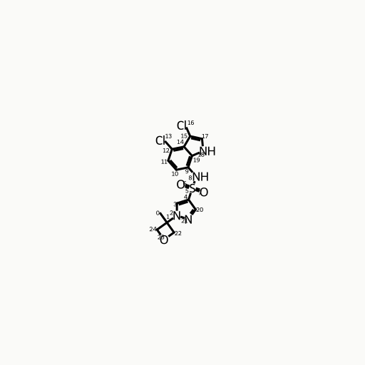 CC1(n2cc(S(=O)(=O)Nc3ccc(Cl)c4c(Cl)c[nH]c34)cn2)COC1